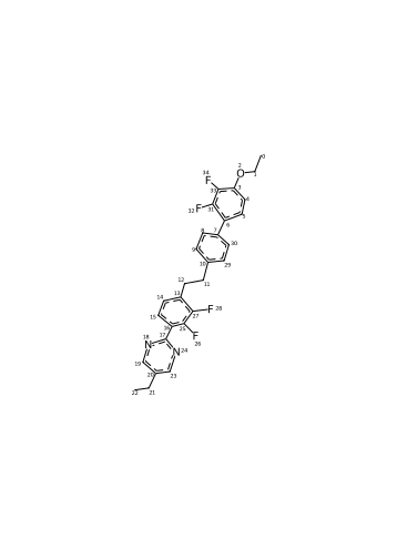 CCOc1ccc(-c2ccc(CCc3ccc(-c4ncc(CC)cn4)c(F)c3F)cc2)c(F)c1F